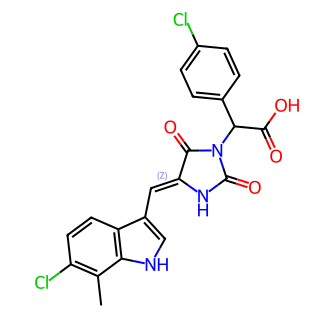 Cc1c(Cl)ccc2c(/C=C3\NC(=O)N(C(C(=O)O)c4ccc(Cl)cc4)C3=O)c[nH]c12